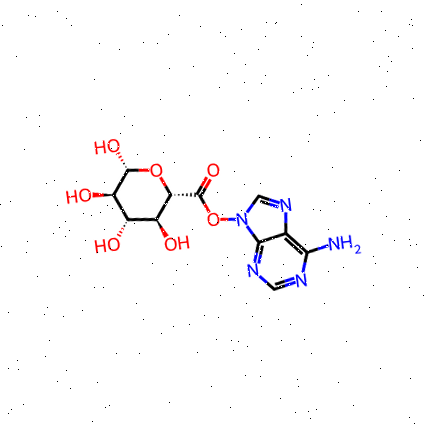 Nc1ncnc2c1ncn2OC(=O)[C@H]1O[C@@H](O)[C@H](O)[C@@H](O)[C@@H]1O